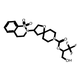 O=C(OC(CO)C(F)(F)F)N1CCC2(CC1)CC(N1CCc3ccccc3S1(=O)=O)CO2